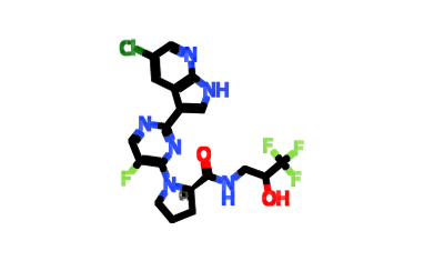 O=C(NCC(O)C(F)(F)F)[C@H]1CCCN1c1nc(-c2c[nH]c3ncc(Cl)cc23)ncc1F